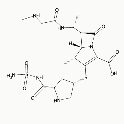 CNCC(=O)N[C@H](C)[C@H]1C(=O)N2C(C(=O)O)=C(S[C@@H]3CN[C@H](C(=O)NS(N)(=O)=O)C3)[C@H](C)[C@H]12